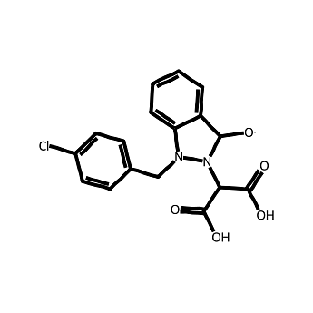 [O]C1c2ccccc2N(Cc2ccc(Cl)cc2)N1C(C(=O)O)C(=O)O